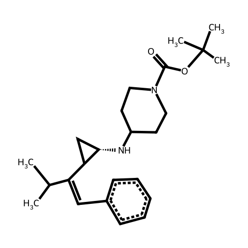 CC(C)C(=Cc1ccccc1)C1C[C@@H]1NC1CCN(C(=O)OC(C)(C)C)CC1